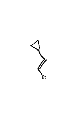 CCC=CC1[CH]C1